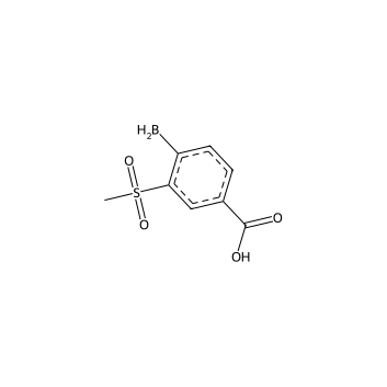 Bc1ccc(C(=O)O)cc1S(C)(=O)=O